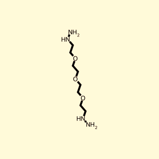 NNCCOCCOCCOCCNN